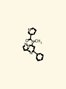 CN(C(=O)c1cccnc1)c1cc(-c2ccccc2)nc2ccnn12